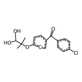 CC(C)(Oc1ccc(C(=O)c2ccc(Cl)cc2)cc1)C(O)O